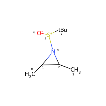 CC1C(C)N1[S+]([O-])C(C)(C)C